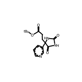 CC(C)(C)OC(=O)CCC1(c2cccnc2)NC(=O)NC1=O